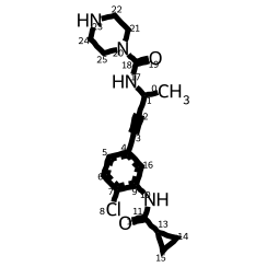 CC(C#Cc1ccc(Cl)c(NC(=O)C2CC2)c1)NC(=O)N1CCNCC1